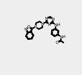 CC(=O)Nc1cccc(Nc2ncnc(N3CCN(c4onc5ccccc45)CC3)n2)c1